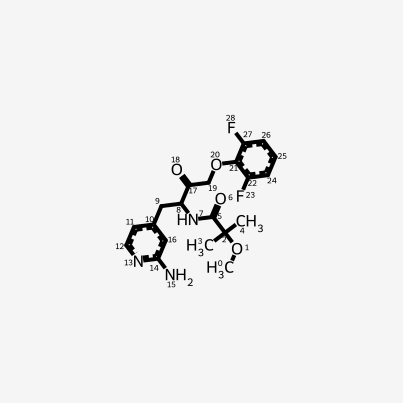 COC(C)(C)C(=O)NC(Cc1ccnc(N)c1)C(=O)COc1c(F)cccc1F